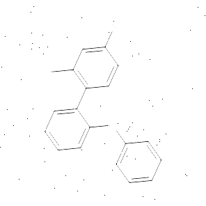 Nc1ccc(-c2ccccc2Oc2ccccc2)c(Cl)c1